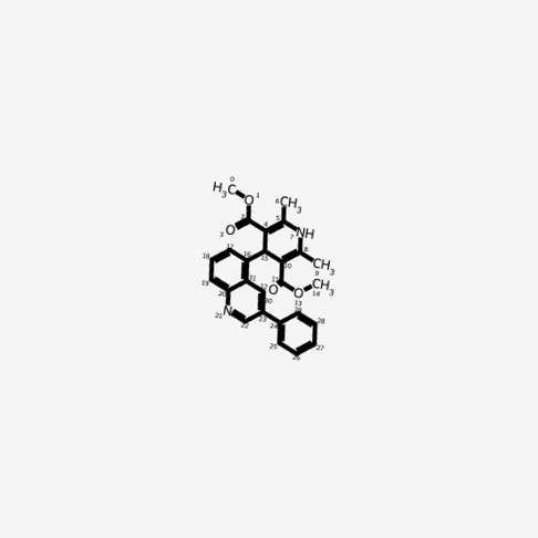 COC(=O)C1=C(C)NC(C)=C(C(=O)OC)C1c1cccc2ncc(-c3ccccc3)cc12